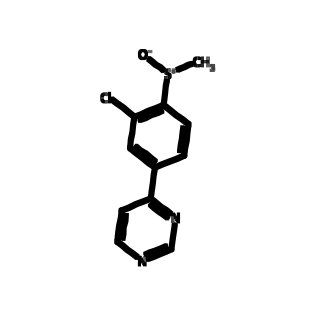 C[S+]([O-])c1ccc(-c2ccncn2)cc1Cl